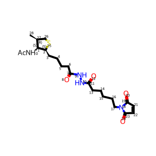 CC(=O)N[C@@H]1[C@H](CCCCC(=O)NNC(=O)CCCCCN2C(=O)C=CC2=O)SC[C@@H]1C